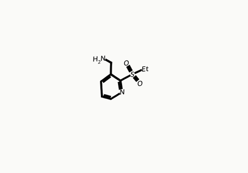 CCS(=O)(=O)c1ncccc1CN